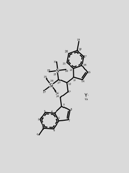 Cc1ccc2c(c1)C=CC2CCC(C1C=Cc2cc(C)ccc21)C([Si](C)(C)C)[Si](C)(C)C.[Y]